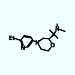 CCc1ccc(N2CCO[C@H](C(C)(C)N(C)C)C2)cn1